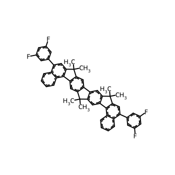 CC1(C)c2cc3c(cc2-c2cc4c(cc21)-c1c(cc(-c2cc(F)cc(F)c2)c2ccccc12)C4(C)C)C(C)(C)c1cc(-c2cc(F)cc(F)c2)c2ccccc2c1-3